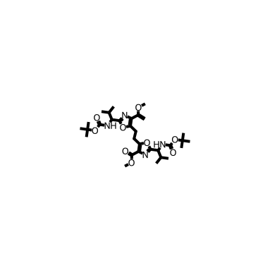 C=C(OC)c1nc(C(NC(=O)OC(C)(C)C)C(C)C)oc1CCc1oc(C(NC(=O)OC(C)(C)C)C(C)C)nc1C(=O)OC